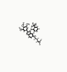 COc1cc(-c2nc3ccc(OCCCN(C)C)cc3n2Cc2ccccc2C(F)(F)F)cc(OC)c1OC